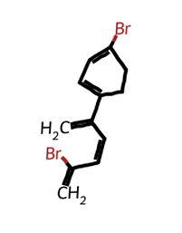 C=C(Br)/C=C\C(=C)C1=CC=C(Br)CC1